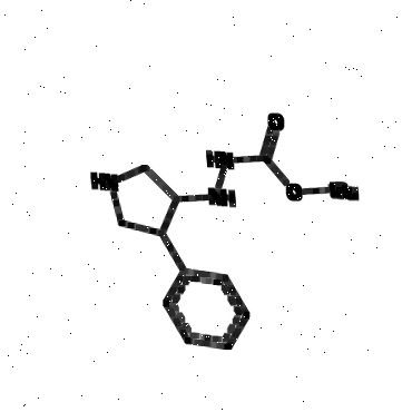 CC(C)(C)OC(=O)NNC1CNCC1c1ccccc1